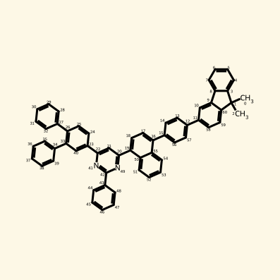 CC1(C)c2ccccc2-c2cc(-c3ccc(-c4ccc(-c5cc(-c6ccc(-c7ccccc7)c(-c7ccccc7)c6)nc(-c6ccccc6)n5)c5ccccc45)cc3)ccc21